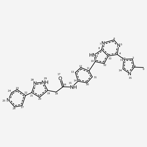 Cc1cn(-c2ncnc3[nH]c(-c4ccc(NC(=O)Cc5cc(-c6ccncc6)n[nH]5)cc4)cc23)cn1